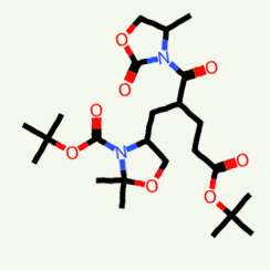 CC1COC(=O)N1C(=O)C(CCC(=O)OC(C)(C)C)CC1COC(C)(C)N1C(=O)OC(C)(C)C